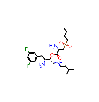 CCCCS(=O)(=O)C[C@@H](N)C(=O)O[C@H](CNCCC(C)C)[C@@H](N)Cc1cc(F)cc(F)c1